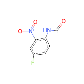 O=[C]Nc1ccc(F)cc1[N+](=O)[O-]